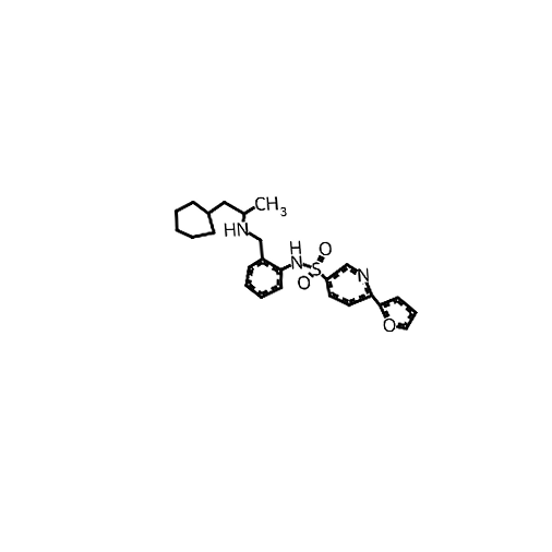 CC(CC1CCCCC1)NCc1ccccc1NS(=O)(=O)c1ccc(-c2ccco2)nc1